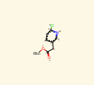 CC(C)(C)OC(=O)Cc1ccc(Cl)nc1